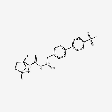 CS(=O)(=O)c1ccc(-c2ccc(C[C@@H](C#N)NC(=O)[C@H]3N[C@@H]4CC[C@H]3C4)cc2)cn1